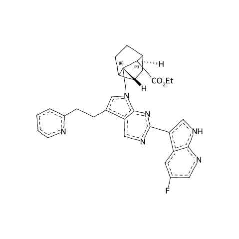 CCOC(=O)[C@@H]1C2CCC(CC2)[C@H]1n1cc(CCc2ccccn2)c2cnc(-c3c[nH]c4ncc(F)cc34)nc21